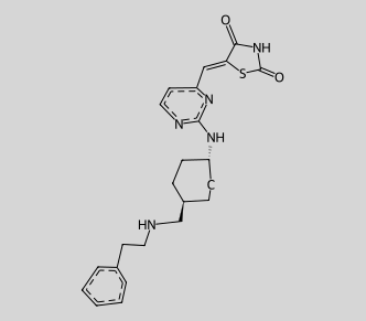 O=C1NC(=O)C(=Cc2ccnc(N[C@H]3CC[C@H](CNCCc4ccccc4)CC3)n2)S1